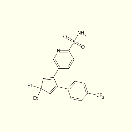 CCC1(CC)C=C(c2ccc(C(F)(F)F)cc2)C(c2ccc(S(N)(=O)=O)nc2)=C1